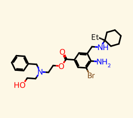 CCC1(NCc2cc(C(=O)OCCN(CCO)Cc3ccccc3)cc(Br)c2N)CCCCC1